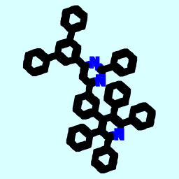 c1ccc(-c2cc(-c3ccccc3)cc(-c3cc(-c4cccc(-c5c(-c6ccccc6)c(-c6ccccc6)nc(-c6ccccc6)c5-c5ccccc5)c4)nc(-c4ccccc4)n3)c2)cc1